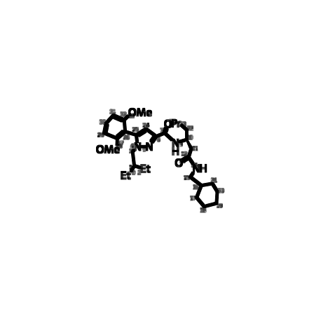 CCC(CC)Cn1nc(C(=O)N[C@H](CC(=O)NCC2CCCCC2)CC(C)C)cc1-c1c(OC)cccc1OC